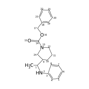 CC(Nc1ccccc1)C1CCCN(C(=O)OCc2ccccc2)C1